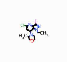 CCn1nc(I)c2nc(Cl)cc(N3CCOC[C@H]3C)c21